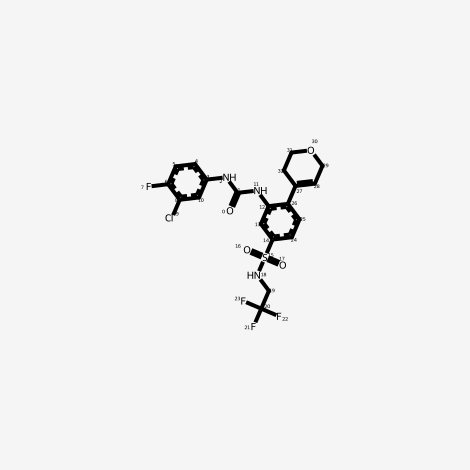 O=C(Nc1ccc(F)c(Cl)c1)Nc1cc(S(=O)(=O)NCC(F)(F)F)ccc1C1=CCOCC1